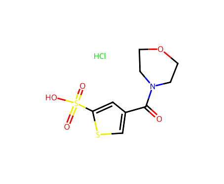 Cl.O=C(c1csc(S(=O)(=O)O)c1)N1CCOCC1